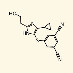 N#Cc1cc(C#N)cc(Sc2[nH]c(CCO)nc2C2CC2)c1